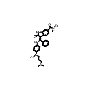 CCNC(=O)c1ccc2c(c1)NC(=O)/C2=C(\Nc1ccc(N(CCCN(C)C)C(C)=O)cc1)c1ccccc1